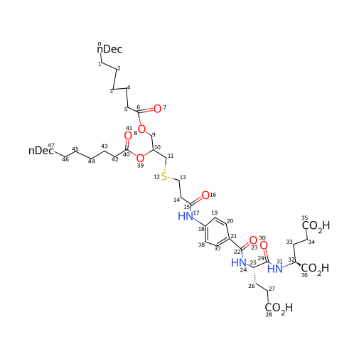 CCCCCCCCCCCCCCCC(=O)OCC(CSCCC(=O)Nc1ccc(C(=O)N[C@@H](CCC(=O)O)C(=O)N[C@@H](CCC(=O)O)C(=O)O)cc1)OC(=O)CCCCCCCCCCCCCCC